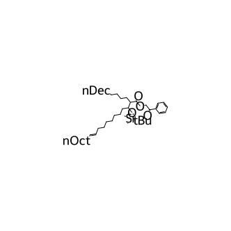 CCCCCCCC/C=C/CCCCCCCC(O[Si](C)(C)C(C)(C)C)C(CCCCCCCCCCCCCC)C(=O)OCC(=O)c1ccccc1